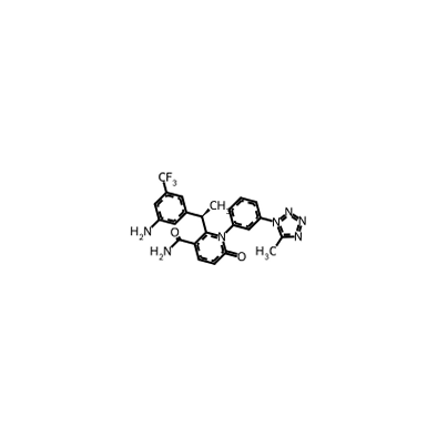 Cc1nnnn1-c1cccc(-n2c([C@H](C)c3cc(N)cc(C(F)(F)F)c3)c(C(N)=O)ccc2=O)c1